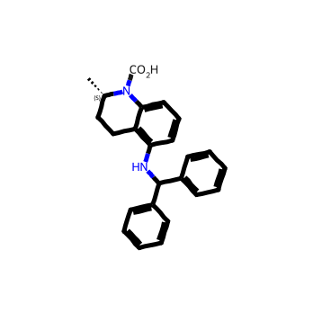 C[C@H]1CCc2c(NC(c3ccccc3)c3ccccc3)cccc2N1C(=O)O